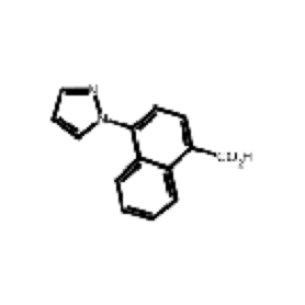 O=C(O)c1ccc(-n2cccn2)c2ccccc12